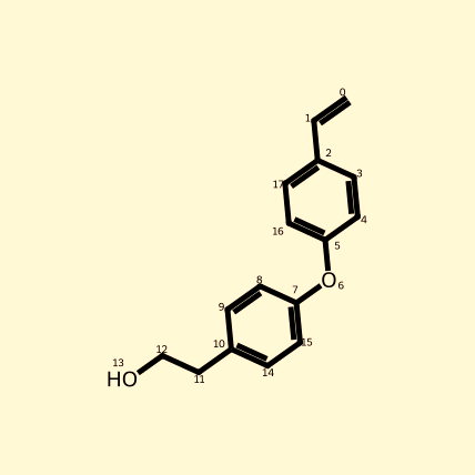 C=Cc1ccc(Oc2ccc(CCO)cc2)cc1